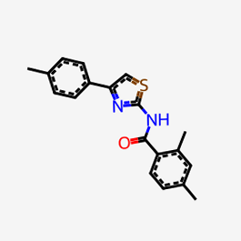 Cc1ccc(-c2csc(NC(=O)c3ccc(C)cc3C)n2)cc1